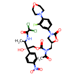 [CH2][C@@H](NC(=O)C(Cl)Cl)[C@@](O)(COC(=O)N(C[C@H]1CN(c2ccc(N3CCOCC3)c(F)c2)C(=O)O1)C(C)=O)c1ccc([N+](=O)[O-])cc1